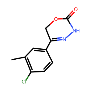 Cc1cc(C2=NNC(=O)OC2)ccc1Cl